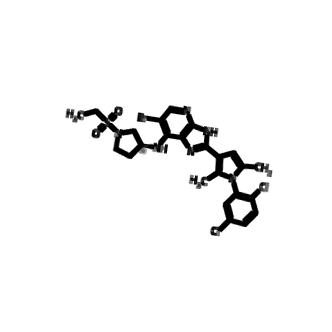 CCS(=O)(=O)N1CC[C@H](Nc2c(Br)cnc3[nH]c(-c4cc(C)n(-c5cc(Cl)ccc5Cl)c4C)nc23)C1